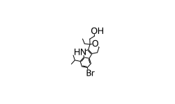 CCC1(CCO)OCCc2c1[nH]c1c(C(C)C)cc(Br)cc21